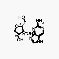 Nc1ncc2[nH]cnc2n1.OC[C@H]1OC[C@H](O)[C@@H]1O